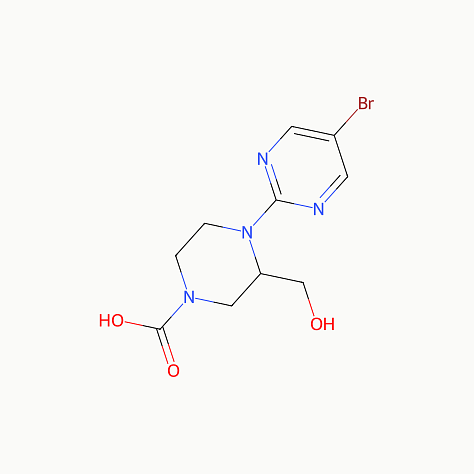 O=C(O)N1CCN(c2ncc(Br)cn2)C(CO)C1